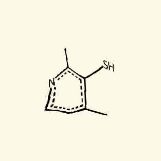 Cc1ccnc(C)c1S